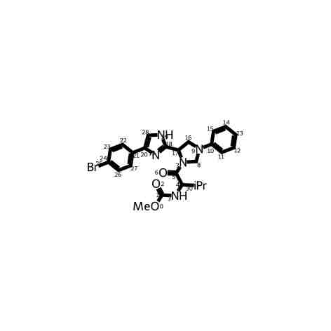 COC(=O)NC(C(=O)N1CN(c2ccccc2)CC1c1nc(-c2ccc(Br)cc2)c[nH]1)C(C)C